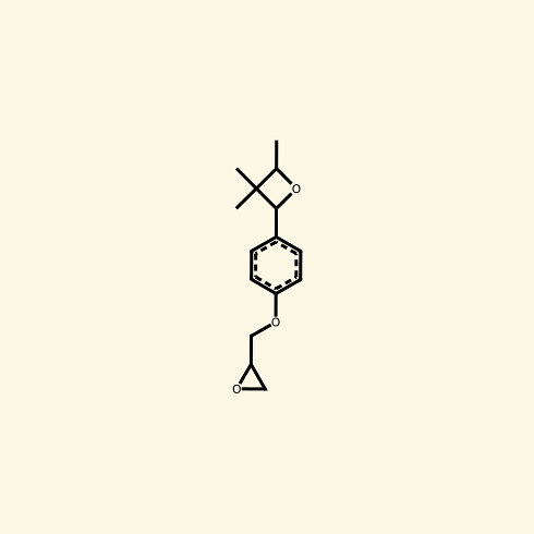 CC1OC(c2ccc(OCC3CO3)cc2)C1(C)C